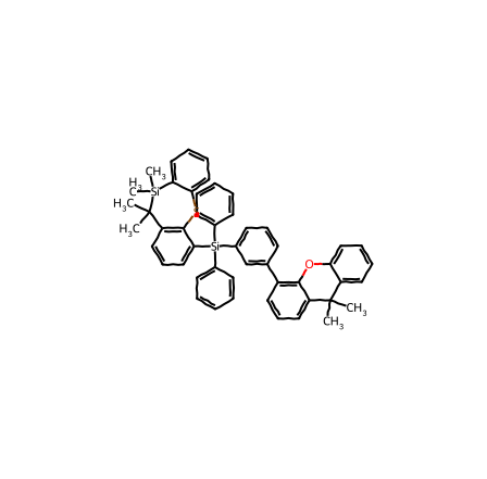 CC1(C)c2ccccc2Oc2c(-c3cccc([Si](c4ccccc4)(c4ccccc4)c4cccc5c4Sc4ccccc4[Si](C)(C)C5(C)C)c3)cccc21